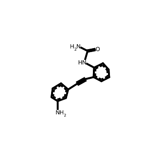 NC(=O)Nc1ccccc1C#Cc1cccc(N)c1